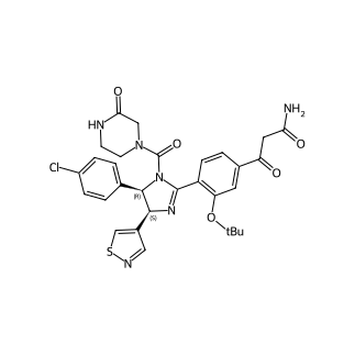 CC(C)(C)Oc1cc(C(=O)CC(N)=O)ccc1C1=N[C@@H](c2cnsc2)[C@@H](c2ccc(Cl)cc2)N1C(=O)N1CCNC(=O)C1